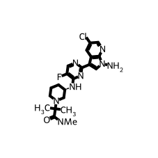 CNC(=O)C(C)(C)N1CCC[C@H](Nc2nc(-c3cn(N)c4ncc(Cl)cc34)ncc2F)C1